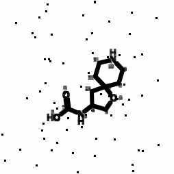 O=C(O)NC1COC2(CCNCC2)C1